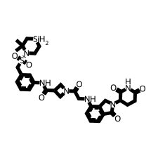 CC1(C)C[SiH2]CCN1S(=O)(=O)Cc1cccc(NC(=O)C2CN(C(=O)CNc3cccc4c3CN(C3CCC(=O)NC3=O)C4=O)C2)c1